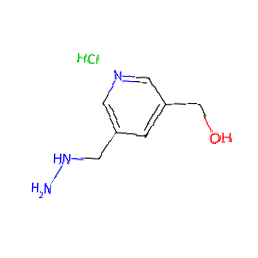 Cl.NNCc1cncc(CO)c1